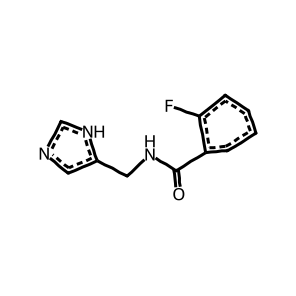 O=C(NCc1cnc[nH]1)c1ccccc1F